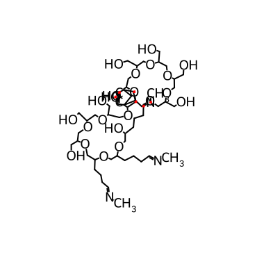 CN=CCCCC(O)COC(CCCC=NC)COC(CCCC=NC)COC(CO)COC(CO)COC(CO)COC(CO)COC(CO)COC(CO)COC(CO)COC(CO)COC(CO)COCC1CC2C=CC1C2